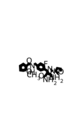 COc1ccccc1C(=O)NCc1ccc(-c2nn(C3CCOC3)c(N)c2C(N)=O)c(F)c1